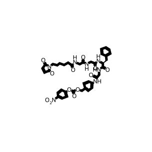 O=C(CCCCCN1C(=O)C=CC1=O)NCC(=O)NCC(=O)N[C@@H](Cc1ccccc1)C(=O)NCC(=O)Nc1ccc(COC(=O)Oc2ccc([N+](=O)[O-])cc2)cc1